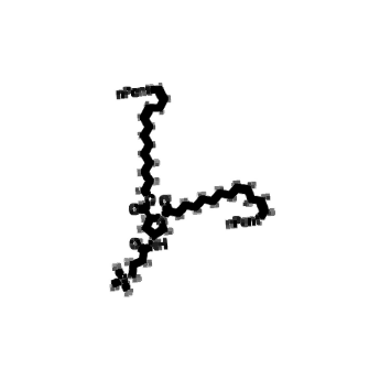 CCCCC/C=C\C/C=C\CCCCCCCCOC(=O)[C@@H]1C[C@@H](NC(=O)CCC[N+](C)(C)C)CN1C(=O)CCCCCCC/C=C\C/C=C\CCCCC